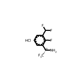 Cl.N[C@@H](c1cccc(C(F)F)c1F)C(F)(F)F